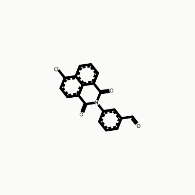 O=Cc1cccc(N2C(=O)c3cccc4c(Cl)ccc(c34)C2=O)c1